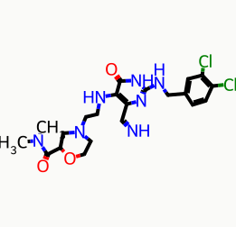 CN(C)C(=O)C1CN(CCNc2c(C=N)nc(NCc3ccc(Cl)c(Cl)c3)[nH]c2=O)CCO1